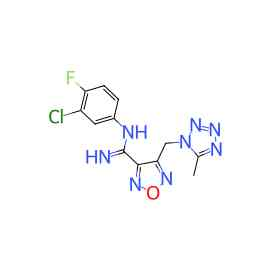 Cc1nnnn1Cc1nonc1C(=N)Nc1ccc(F)c(Cl)c1